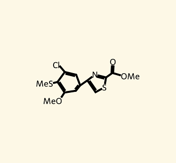 COC(=O)c1nc(-c2cc(Cl)c(SC)c(OC)c2)cs1